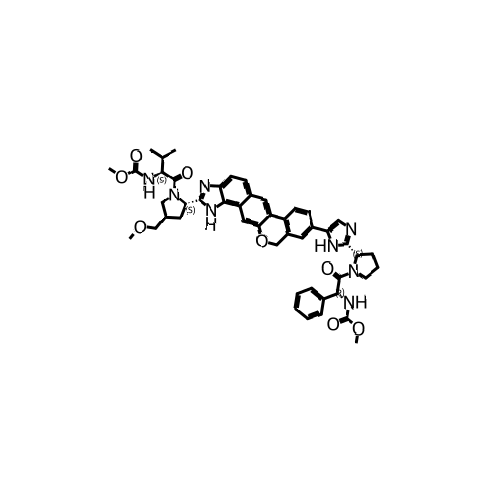 COCC1C[C@@H](c2nc3ccc4cc5c(cc4c3[nH]2)OCc2cc(-c3cnc([C@@H]4CCCN4C(=O)[C@H](NC(=O)OC)c4ccccc4)[nH]3)ccc2-5)N(C(=O)[C@@H](NC(=O)OC)C(C)C)C1